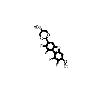 CCCCC1COC(c2cc3oc4cc(OCC)c(F)c(F)c4c3c(F)c2F)OC1